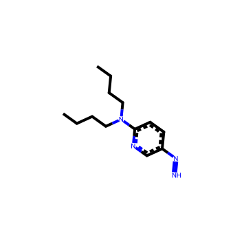 CCCCN(CCCC)c1ccc(N=N)cn1